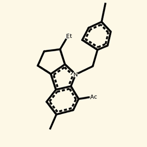 CCC1CCc2c1n(Cc1ccc(C)cc1)c1c(C(C)=O)cc(C)cc21